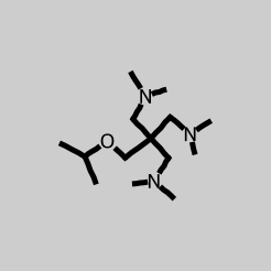 CC(C)OCC(CN(C)C)(CN(C)C)CN(C)C